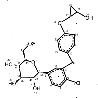 OC[C@H]1O[C@@H](c2ccc(Cl)c(Cc3ccc(OC4CC4O)cc3)c2)[C@H](O)[C@@H](O)[C@@H]1O